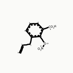 C=CCc1cccc(C(=O)O)c1O[N+](=O)[O-]